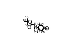 Cc1cc(NCC(=O)OC(C)(C)C)ccc1[O]